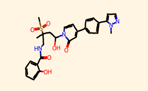 Cn1nccc1-c1ccc(-c2ccn(C(O)CC(C)(CNC(=O)c3ccccc3O)S(C)(=O)=O)c(=O)c2)cc1